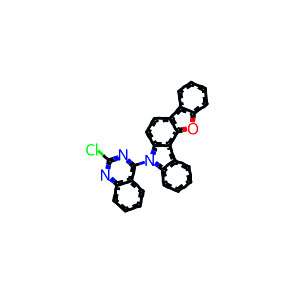 Clc1nc(-n2c3ccccc3c3c4oc5ccccc5c4ccc32)c2ccccc2n1